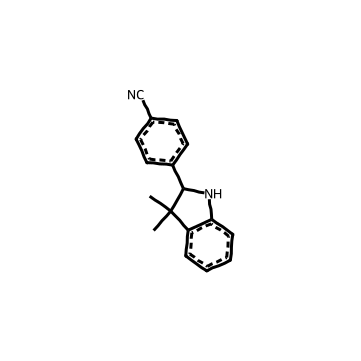 CC1(C)c2ccccc2NC1c1ccc(C#N)cc1